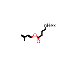 C=C(C)C=COC(=O)CCCCCCCCC